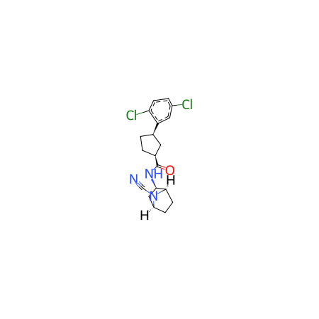 N#CN1[C@H]2CC[C@@H]1[C@H](NC(=O)[C@H]1CC[C@@H](c3cc(Cl)ccc3Cl)C1)C2